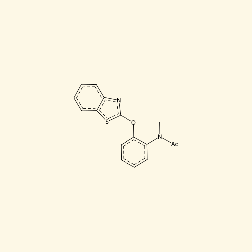 CC(=O)N(C)c1ccccc1Oc1nc2ccccc2s1